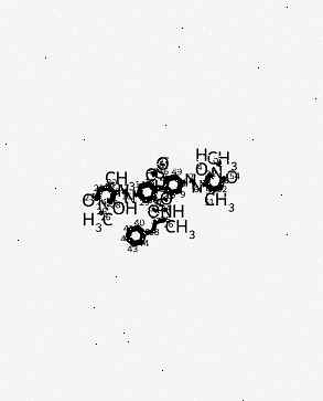 CCn1c(O)c(N=Nc2ccc(-c3ccc(N=Nc4c(C)cc(=O)n(CC)c4O)cc3S(=O)(=O)NC(C)CCc3ccccc3)c([SH](=O)=O)c2)c(C)cc1=O